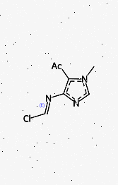 CC(=O)c1c(/N=C/Cl)ncn1C